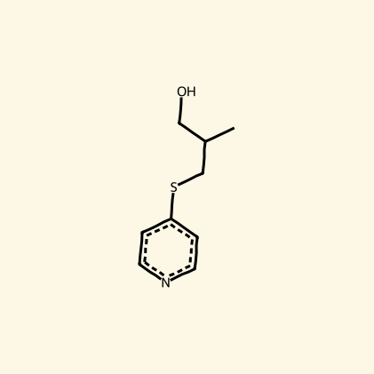 CC(CO)CSc1ccncc1